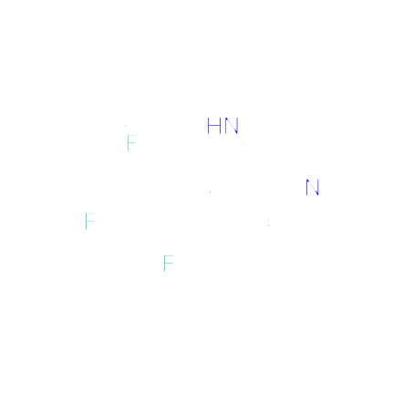 FC(F)(F)C1[C]N=CN1